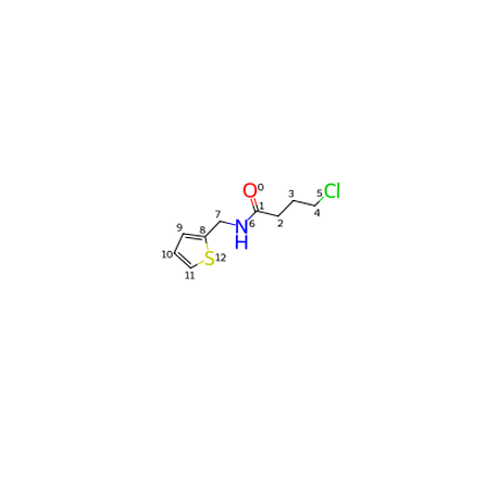 O=C(CCCCl)NCc1cccs1